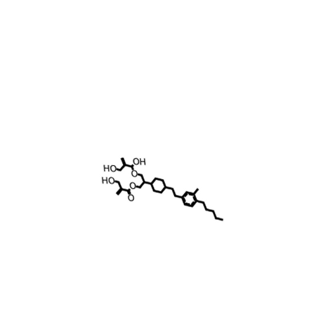 C=C(CO)C(=O)OCC(COC(O)C(=C)CO)C1CCC(CCc2ccc(CCCCC)c(C)c2)CC1